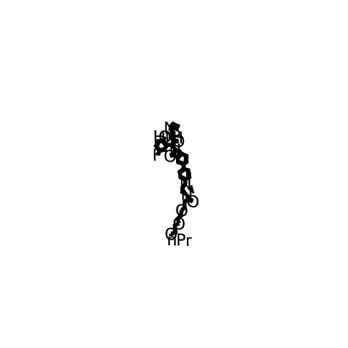 CCCOCCOCCOCCC(=O)N1CCN(c2ccc(-c3ccc4c(c3)C(=O)N(C(C(=O)Nc3nccs3)c3cc(F)ccc3O)C4)cc2)CC1